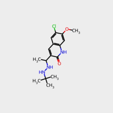 COc1cc2[nH]c(=O)c(C(C)NNC(C)(C)C)cc2cc1Cl